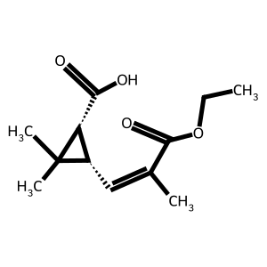 CCOC(=O)/C(C)=C\[C@H]1[C@@H](C(=O)O)C1(C)C